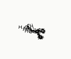 CC(C)NCC(O)COc1ccc(OCc2ccccc2)c(OCc2ccccc2)c1